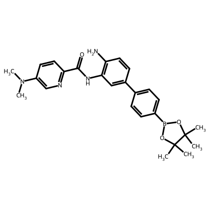 CN(C)c1ccc(C(=O)Nc2cc(-c3ccc(B4OC(C)(C)C(C)(C)O4)cc3)ccc2N)nc1